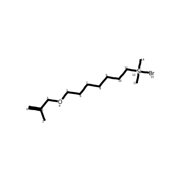 C=C(C)COCCCCCCC[Si](C)(C)Br